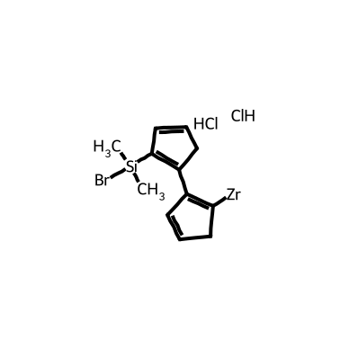 C[Si](C)(Br)C1=C(C2=[C]([Zr])CC=C2)CC=C1.Cl.Cl